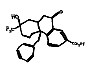 O=C(O)c1ccc2c(c1)C(=O)CC1CC(O)(C(F)(F)F)CCC21Cc1ccccc1